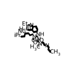 C\C=C/C=N\C=C\N(C)C(=O)/N=C(/NC1=CC(=C/C)/C(=N\C(CC)CC)C=C1)N(C=O)CC/C=C(C#N)\C=C/C(C)C